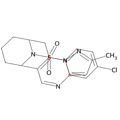 Cc1cc2ncc3c(n2n1)CC1CCCC3N1S(=O)(=O)c1ccc(Cl)cc1